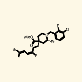 CC[C@@H]1C[C@](CC/C(F)=C\C=C(/C)Br)(C(=O)OC)CCB1Cc1cccc(Cl)c1F